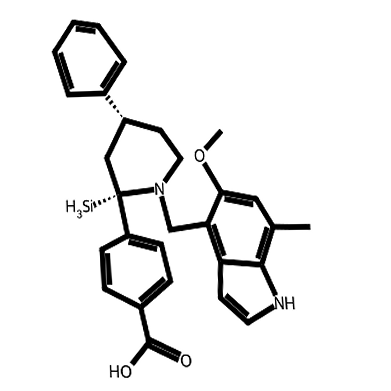 COc1cc(C)c2[nH]ccc2c1CN1CC[C@@H](c2ccccc2)C[C@]1([SiH3])c1ccc(C(=O)O)cc1